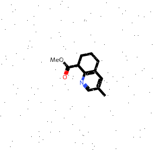 COC(=O)C1CCCc2cc(C)cnc21